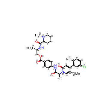 CCC(C(=O)Nc1ccc(C(=O)OC[C@H](NC(=O)C2CCCCN2C)C(=O)O)cc1)n1cc(OC)c(-c2cc(Cl)ccc2C#N)cc1=O